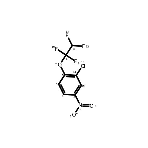 O=[N+]([O-])c1ccc(OC(F)(F)C(F)F)c(Cl)c1